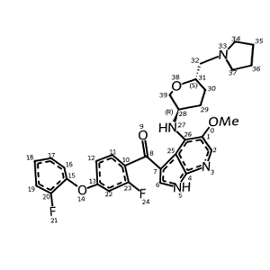 COc1cnc2[nH]cc(C(=O)c3ccc(Oc4ccccc4F)cc3F)c2c1N[C@@H]1CC[C@@H](CN2CCCC2)OC1